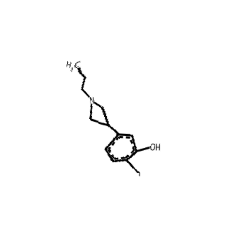 CCCN1CC(c2ccc(I)c(O)c2)C1